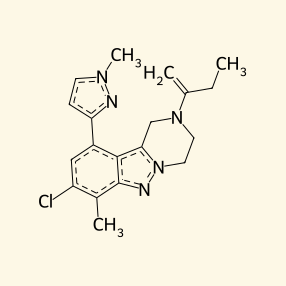 C=C(CC)N1CCn2nc3c(C)c(Cl)cc(-c4ccn(C)n4)c3c2C1